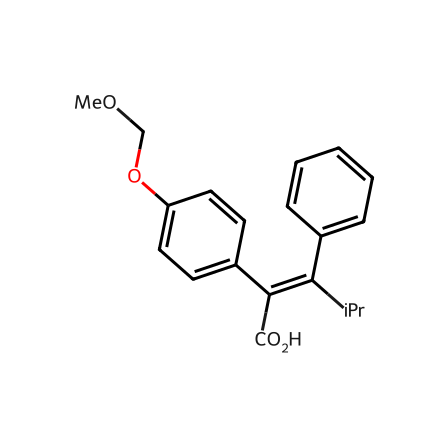 COCOc1ccc(/C(C(=O)O)=C(\c2ccccc2)C(C)C)cc1